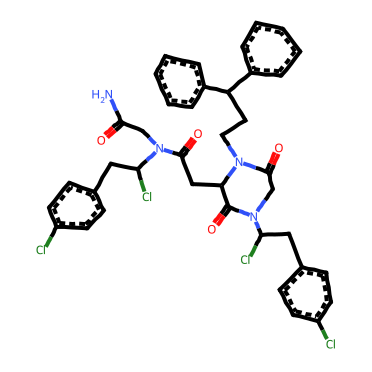 NC(=O)CN(C(=O)CC1C(=O)N(C(Cl)Cc2ccc(Cl)cc2)CC(=O)N1CCC(c1ccccc1)c1ccccc1)C(Cl)Cc1ccc(Cl)cc1